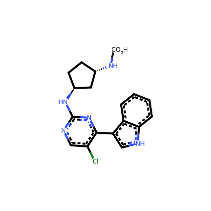 O=C(O)N[C@H]1CC[C@H](Nc2ncc(Cl)c(-c3c[nH]c4ccccc34)n2)C1